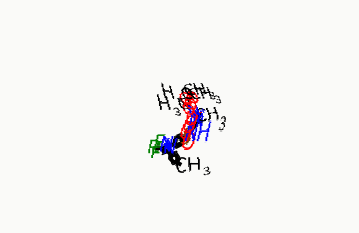 Cc1ccc(-c2cc(C(F)(F)F)nn2-c2ccc(S(=O)(=O)NC(=O)CN(C)[N+]([O-])=NOC(C)OC(=O)OC(C)(C)C)cc2)cc1